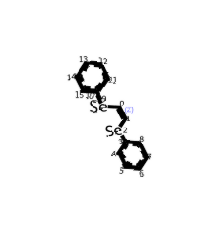 C(=C/[Se]c1ccccc1)/[Se]c1ccccc1